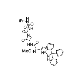 CO/N=C(\C(=O)N[C@H]1CN(C(=O)NS(=O)(=O)NC(C)C)C1=O)c1csc(NC(c2ccccc2)(c2ccccc2)c2ccccc2)n1